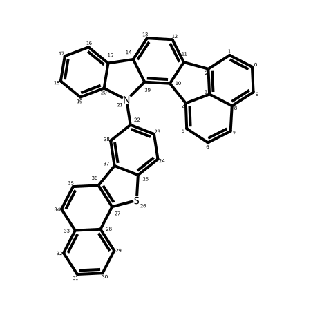 c1cc2c3c(cccc3c1)-c1c-2ccc2c3ccccc3n(-c3ccc4sc5c6ccccc6ccc5c4c3)c12